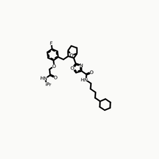 CC(C)NC(=O)COc1ccc(F)cc1CC1C2CCC(O2)C1c1nc(C(=O)NCCCCC2CCCCC2)co1